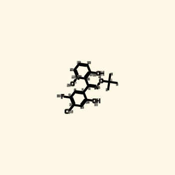 CC(C)(C)O/N=C(/c1cc(F)c(Cl)cc1O)c1c(O)ccc[n+]1[O-]